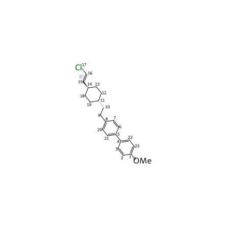 COc1ccc(-c2ccc(CC[C@H]3CC[C@H](/C=C/Cl)CC3)cc2)cc1